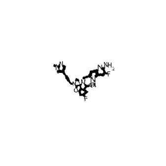 Cn1cc(C#CCN2CC[C@@]3(C2=O)c2ccc(F)cc2C(=O)N3Cc2cc3nc(N)c(F)cc3[nH]2)cn1